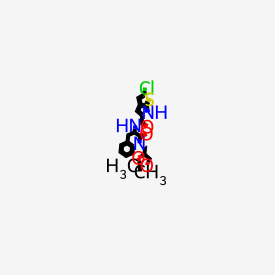 CC1(C)OCC(CN2C(=O)C(NC(=O)c3cc4cc(Cl)sc4[nH]3)Cc3ccccc32)O1